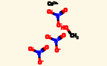 CO.O=[N+]([O-])[O-].O=[N+]([O-])[O-].O=[N+]([O-])[O-].[Ce+3]